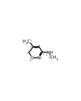 CNC1=NOCC(C)=C1